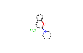 Cl.c1cc2ccc(N3CCCCC3)oc-2c1